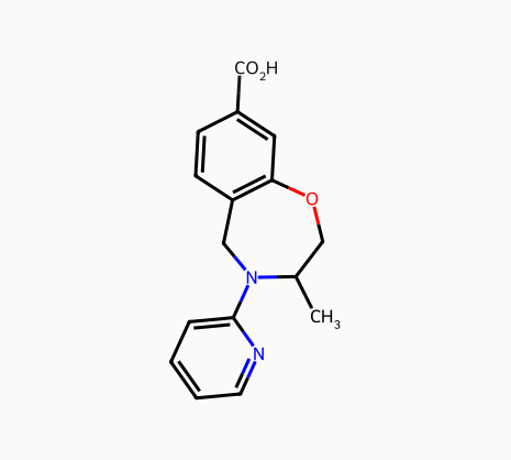 CC1COc2cc(C(=O)O)ccc2CN1c1ccccn1